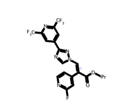 CC(C)OC(=O)/C(=C/n1cnc(-c2cc(C(F)(F)F)nc(C(F)(F)F)c2)n1)c1ccnc(F)c1